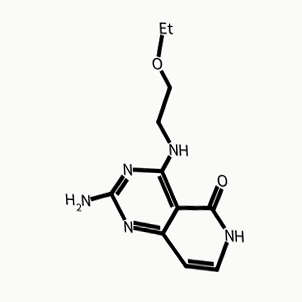 CCOCCNc1nc(N)nc2cc[nH]c(=O)c12